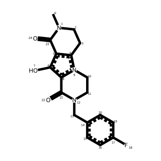 CN1CCc2c(c(O)c3n2CCN(Cc2ccc(F)cc2)C3=O)C1=O